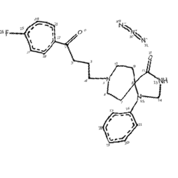 O=C(CCCN1CCC2(CC1)C(=O)NCN2c1ccccc1)c1ccc(F)cc1.[N-]=[N+]=[N-]